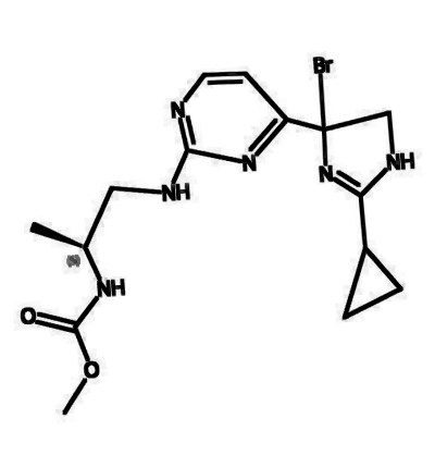 COC(=O)N[C@@H](C)CNc1nccc(C2(Br)CNC(C3CC3)=N2)n1